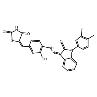 Cc1ccc(N2C(=O)C(=NNc3ccc(C=C4SC(=O)NC4=O)cc3O)c3ccccc32)cc1C